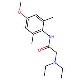 CCN(CC)CC(=O)Nc1c(C)cc(OC)cc1C